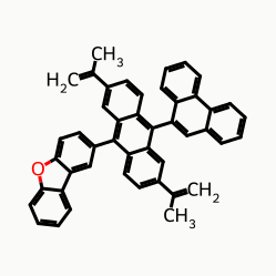 C=C(C)c1ccc2c(-c3cc4ccccc4c4ccccc34)c3cc(C(=C)C)ccc3c(-c3ccc4oc5ccccc5c4c3)c2c1